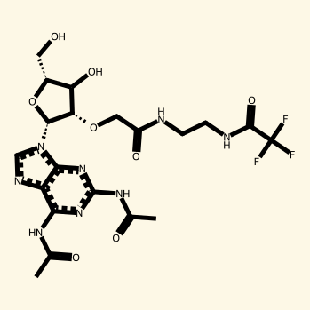 CC(=O)Nc1nc(NC(C)=O)c2ncn([C@@H]3O[C@H](CO)C(O)[C@@H]3OCC(=O)NCCNC(=O)C(F)(F)F)c2n1